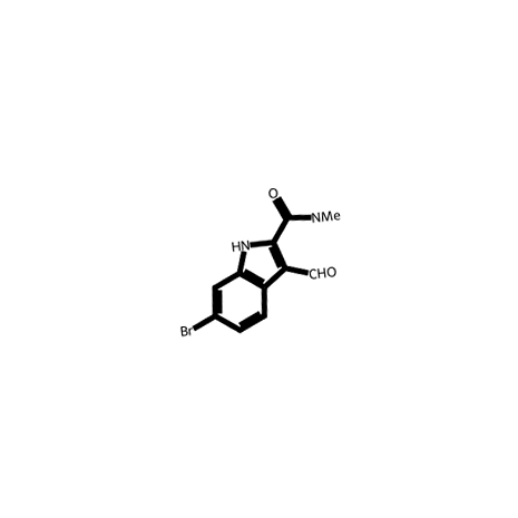 CNC(=O)c1[nH]c2cc(Br)ccc2c1C=O